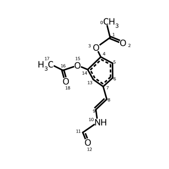 CC(=O)Oc1ccc(C=CNC=O)cc1OC(C)=O